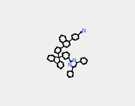 N#Cc1ccc(-c2ccc(-c3cccc(C4(c5cccc(-c6nc(-c7ccccc7)cc(-c7ccccc7)n6)c5)c5ccccc5-c5ccccc54)c3)c3ccccc23)cc1